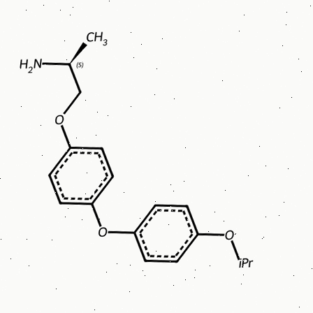 CC(C)Oc1ccc(Oc2ccc(OC[C@H](C)N)cc2)cc1